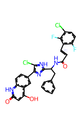 O=C(/C=C/c1c(F)ccc(Cl)c1F)NC(Cc1ccccc1)c1nc(-c2ccc3[nH]c(=O)cc(O)c3c2)c(Cl)[nH]1